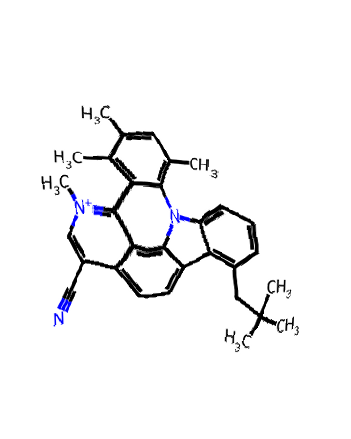 Cc1cc(C)c2c(c1C)c1c3c(ccc4c5c(CC(C)(C)C)cccc5n2c43)c(C#N)c[n+]1C